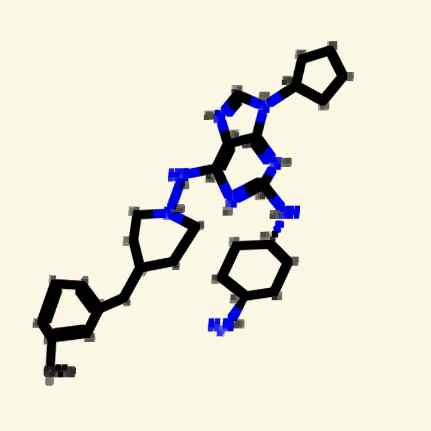 COc1cccc(CC2CCN(Nc3nc(N[C@H]4CC[C@H](N)CC4)nc4c3ncn4C3CCCC3)CC2)c1